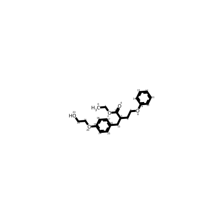 CCOC(=O)C(CCOc1ccccc1)Cc1ccc(OCCO)cc1